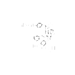 CCCCCc1ccc(CNC(=O)c2csc(CN(Cc3ccc(O)c(C(=O)O)c3)C(=O)C=Cc3ccccc3)n2)cc1